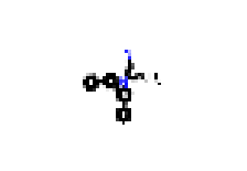 C=C/C=C(\C=C\C#N)n1c2ccc(-c3ccccc3)cc2c2cc(-c3ccccc3)ccc21